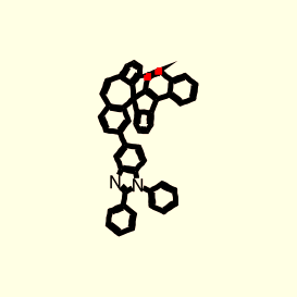 C1=Cc2ccc(-c3ccc4c(c3)nc(-c3ccccc3)n4-c3ccccc3)cc2C2(c3ccccc31)c1ccccc1-c1c2c2ccccc2c2ccccc12